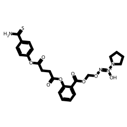 NC(=S)c1ccc(OC(=O)CCC(=O)Oc2ccccc2C(=O)OCO/N=[N+](\O)N2CCCC2)cc1